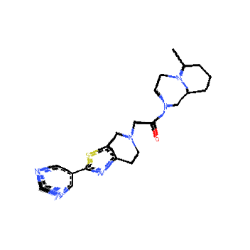 CC1CCCC2CN(C(=O)CN3CCc4nc(-c5cncnc5)sc4C3)CCN12